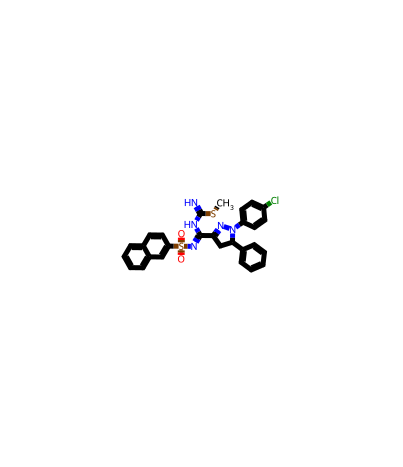 CSC(=N)N/C(=N\S(=O)(=O)c1ccc2ccccc2c1)C1=NN(c2ccc(Cl)cc2)C(c2ccccc2)C1